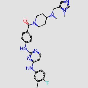 Cc1cc(Nc2ccnc(Nc3ccc(C(=O)N4CCC(N(C)Cc5cncn5C)CC4)cc3)n2)ccc1F